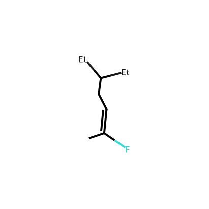 CCC(CC)C/C=C(\C)F